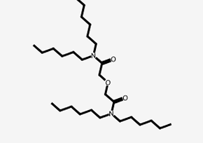 CCCCCCN(CCCCCC)C(=O)COCC(=O)N(CCCCCC)CCCCCC